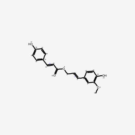 COc1cc(/C=C/COC(=O)/C=C/c2ccc(O)cc2)ccc1O